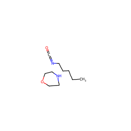 C1COCCN1.CCCCCN=C=O